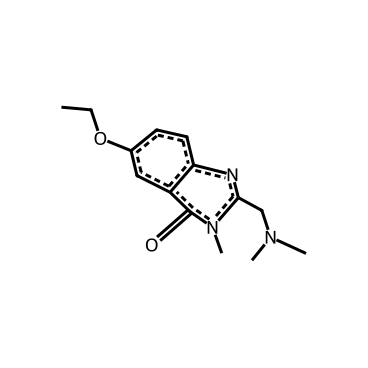 CCOc1ccc2nc(CN(C)C)n(C)c(=O)c2c1